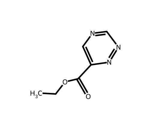 CCOC(=O)c1cncnn1